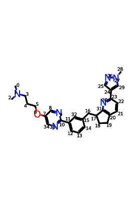 CN(C)CCCOc1cnc(-c2cccc(CC3CCc4ccc(-c5cnn(C)c5)nc43)c2)nc1